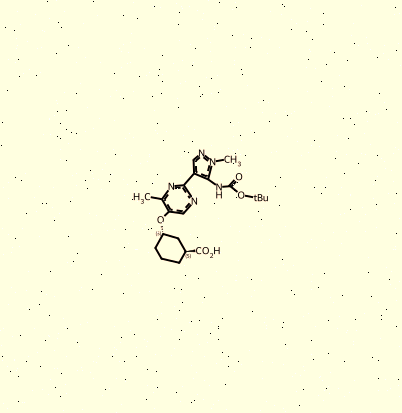 Cc1nc(-c2cnn(C)c2NC(=O)OC(C)(C)C)ncc1O[C@H]1CCC[C@H](C(=O)O)C1